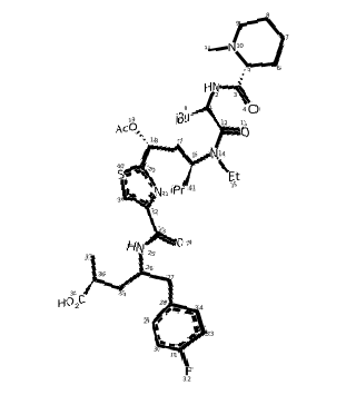 CC[C@H](C)C(NC(=O)[C@H]1CCCCN1C)C(=O)N(CC)[C@H](C[C@@H](OC(C)=O)c1nc(C(=O)NC(Cc2ccc(F)cc2)C[C@H](C)C(=O)O)cs1)C(C)C